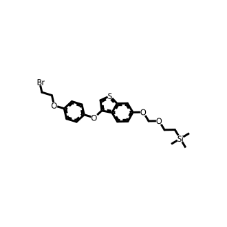 C[Si](C)(C)CCOCOc1ccc2c(Oc3ccc(OCCBr)cc3)csc2c1